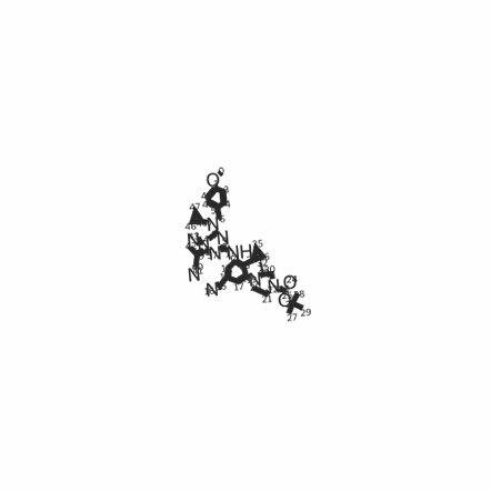 COc1ccc(CN(c2nc(Nc3cc(C#N)cc(N4CCN(C(=O)OC(C)(C)C)C[C@@H]4C)c3C3CC3)nc3c(C#N)cnn23)C2CC2)cc1